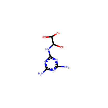 Nc1nc(N)nc(NC(O)C(O)O)n1